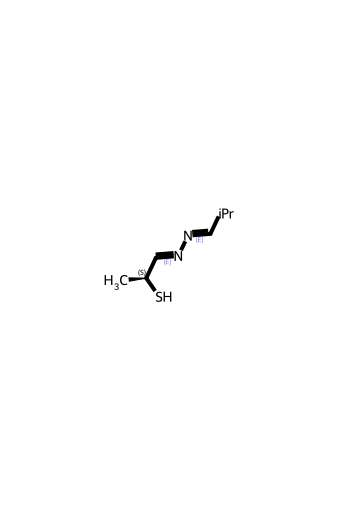 CC(C)/C=N/N=C/[C@H](C)S